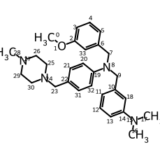 COc1cccc(CN(Cc2cccc(N(C)C)c2)c2ccc(CN3CCN(C)CC3)cc2)c1